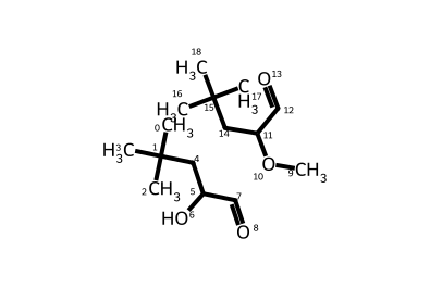 CC(C)(C)CC(O)C=O.COC(C=O)CC(C)(C)C